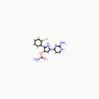 NC(=O)Oc1cc(-c2ccnc(N)n2)[nH]c1-c1ccccc1F